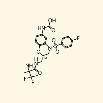 CC(N)(C(=O)NC[C@H]1CN(S(=O)(=O)c2ccc(F)cc2)c2cc(NC(=O)O)ccc2O1)C(F)(F)F